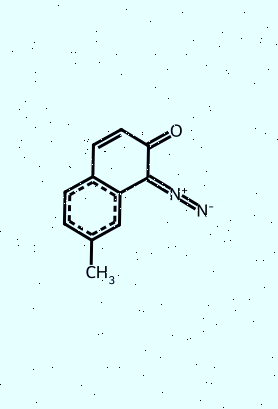 Cc1ccc2c(c1)C(=[N+]=[N-])C(=O)C=C2